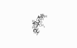 Cc1c(C(=O)C(=O)NC2(c3c[nH]nn3)CC2)c2n(c1CNc1ccnc(C(F)F)c1F)[C@@H]1C[C@@H]1C2